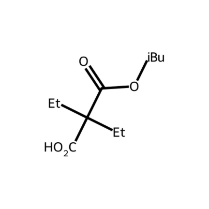 CCC(C)OC(=O)C(CC)(CC)C(=O)O